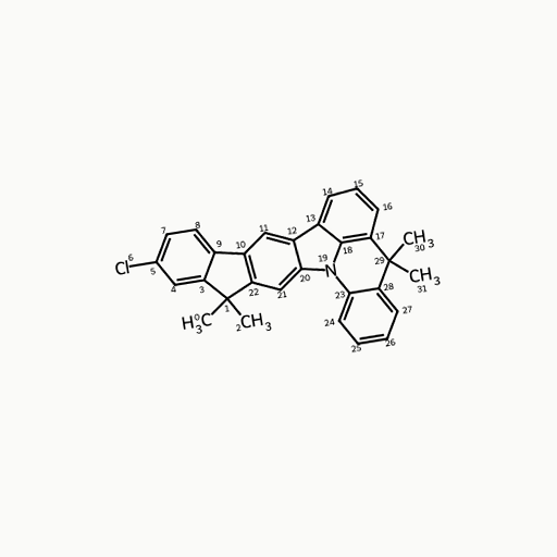 CC1(C)c2cc(Cl)ccc2-c2cc3c4cccc5c4n(c3cc21)-c1ccccc1C5(C)C